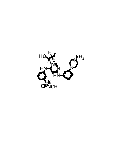 CNS(=O)(=O)c1cccc(Nc2cc(Nc3cccc(N4CCN(C)CC4)c3)ncn2)c1.O=C(O)C(F)(F)F